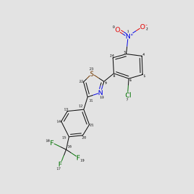 O=[N+]([O-])c1ccc(Cl)c(-c2nc(-c3ccc(C(F)(F)F)cc3)cs2)c1